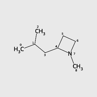 CC(C)CC1CCN1C